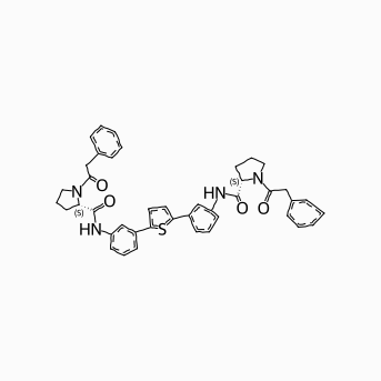 O=C(Nc1cccc(-c2ccc(-c3cccc(NC(=O)[C@@H]4CCCN4C(=O)Cc4ccccc4)c3)s2)c1)[C@@H]1CCCN1C(=O)Cc1ccccc1